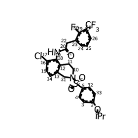 CC(C)Oc1ccc(S(=O)(=O)N2CCc3c(ccc(Cl)c3NC(=O)Cc3cccc(C(F)(F)F)c3F)C2)cc1